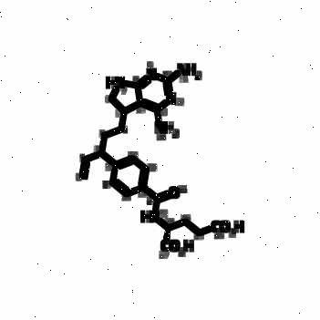 C=CC(CCC1CNc2nc(N)nc(N)c21)c1ccc(C(=O)N[C@@H](CCC(=O)O)C(=O)O)cc1